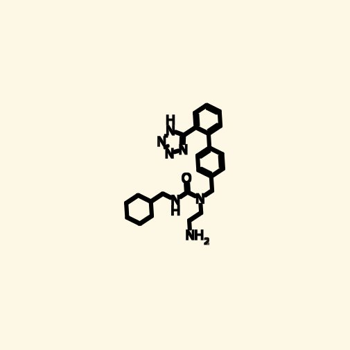 NCCN(Cc1ccc(-c2ccccc2-c2nnn[nH]2)cc1)C(=O)NCC1CCCCC1